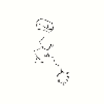 O=C(NCCCc1ccncc1)N(CCC12CC3CC(CC(C3)C1)C2)CC1CC1